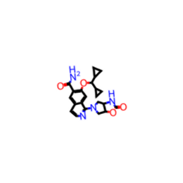 NC(=O)c1cc2ccnc(N3CC4NC(=O)OC4C3)c2cc1OC(C1CC1)C1CC1